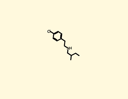 CCC(C)CNCCc1ccc(Cl)cc1